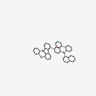 c1ccc(-c2ccccc2N(c2ccc(-c3cccc4c3c3cccc5c3n4-c3ccccc3O5)cc2)c2cccc3ccccc23)cc1